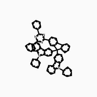 c1ccc(-c2nc(-c3ccccc3)nc(-c3ccc4c(c3)C(c3ccc5c(c3)c3ccccc3n5-c3ccccc3)(c3ccc5c(c3)c3ccccc3n5-c3ccccc3)c3ccccc3-4)n2)cc1